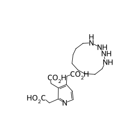 C1CCCCNNNNCCC1.O=C(O)Cc1ccnc(CC(=O)O)c1CC(=O)O